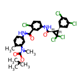 Cc1ccc(NC(=O)c2cc(NC(=O)[C@H]3[C@H](c4cc(Cl)cc(Cl)c4)C3(Cl)Cl)ccc2Cl)cc1N(C)C(=O)OC(C)(C)C